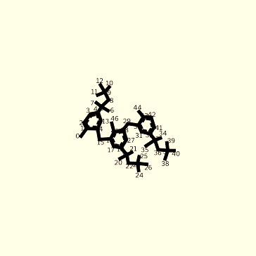 Cc1ccc(C(C)(C)CC(C)(C)C)cc1Cc1cc(C(C)(C)CC(C)(C)C)cc(Cc2cc(C(C)(C)CC(C)(C)C)ccc2C)c1C